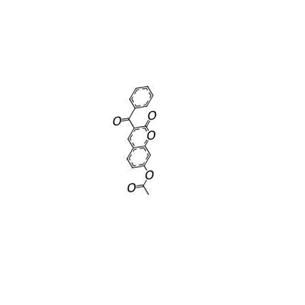 CC(=O)Oc1ccc2cc(C(=O)c3ccccc3)c(=O)oc2c1